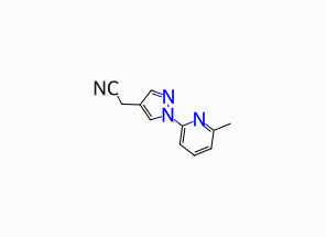 Cc1cccc(-n2cc(CC#N)cn2)n1